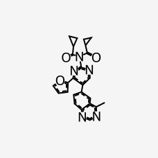 Cc1ncnc2ccc(-c3cnc(N(C(=O)C4CC4)C(=O)C4CC4)nc3-c3ccco3)cc12